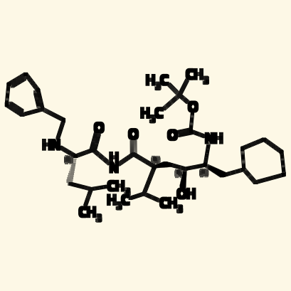 CC(C)C[C@H](NCc1ccccc1)C(=O)NC(=O)[C@@H](C[C@H](O)[C@H](CC1CCCCC1)NC(=O)OC(C)(C)C)C(C)C